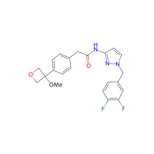 COC1(c2ccc(CC(=O)Nc3ccn(Cc4ccc(F)c(F)c4)n3)cc2)COC1